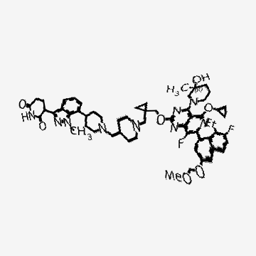 CCc1c(F)ccc2cc(OCOC)cc(-c3nc(OC4CC4)c4c(N5CCC[C@@](C)(O)C5)nc(OCC5(CN6CCC(CN7CCC(c8cccc9c(C%10CCC(=O)NC%10=O)nn(C)c89)CC7)CC6)CC5)nc4c3F)c12